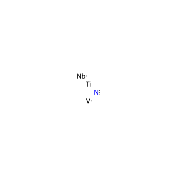 [N].[Nb].[Ti].[V]